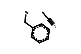 BrCc1ccccc1.CC#N